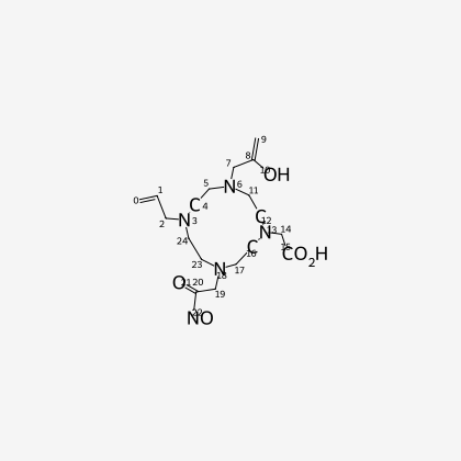 C=CCN1CCN(CC(=C)O)CCN(CC(=O)O)CCN(CC(=O)N=O)CC1